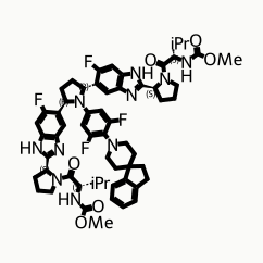 COC(=O)N[C@H](C(=O)N1CCC[C@H]1c1nc2cc([C@H]3CC[C@H](c4cc5nc([C@@H]6CCCN6C(=O)[C@@H](NC(=O)OC)C(C)C)[nH]c5cc4F)N3c3cc(F)c(N4CCC5(CCc6ccccc65)CC4)c(F)c3)c(F)cc2[nH]1)C(C)C